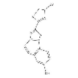 CC(=O)C1CSC(c2nc3ccc4cc(O)ccc4c3s2)=N1